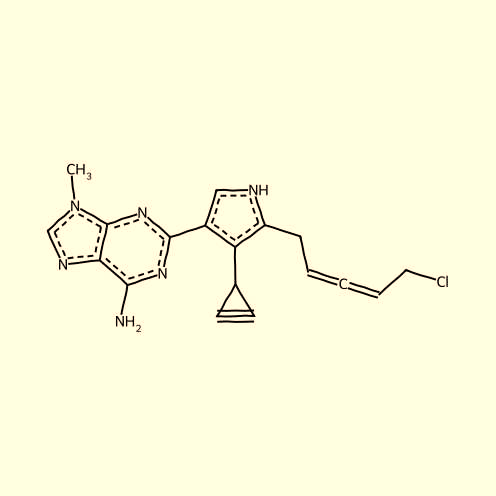 Cn1cnc2c(N)nc(-c3c[nH]c(CC=C=CCCl)c3C3C#C3)nc21